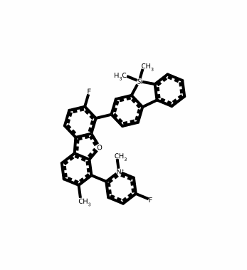 Cc1ccc2c(oc3c(-c4ccc5c(c4)[Si](C)(C)c4ccccc4-5)c(F)ccc32)c1-c1ccc(F)c[n+]1C